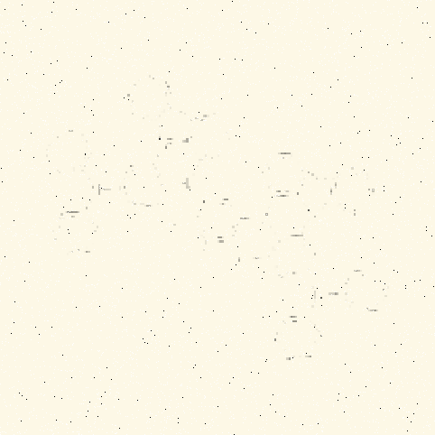 Cc1c2c(cc3c1Oc1cc(N(c4ccccc4)c4ccccc4)cc4c1B3c1cccc3c5ccccc5n-4c13)B1c3c(cc(N(c4ccccc4)c4ccccc4)cc3-n3c4ccccc4c4cccc1c43)O2